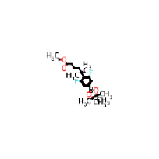 CCOC(=O)CCCC(C)(C)c1c(F)cc(B2OC(C)(C)C(C)(C)O2)cc1F